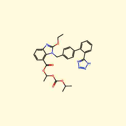 CCOc1nc2cccc(C(=O)OC(C)OC(=O)OC(C)C)c2n1Cc1ccc(-c2ccccc2-c2nnn[nH]2)cc1